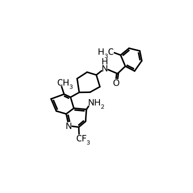 Cc1ccccc1C(=O)NC1CCC(c2c(C)ccc3nc(C(F)(F)F)cc(N)c23)CC1